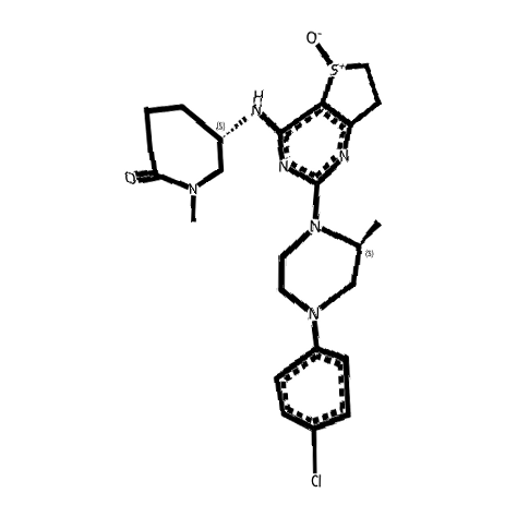 C[C@H]1CN(c2ccc(Cl)cc2)CCN1c1nc2c(c(N[C@H]3CCC(=O)N(C)C3)n1)[S+]([O-])CC2